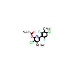 COC(=O)Oc1nc(-c2c(F)cc(Cl)c(OC)c2F)cc(NC(C)=O)c1Cl